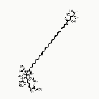 CCCCN(C(=O)OC(C)(C)C)C(NC(=O)CCCCCCCCCCCCCCCCCCCCCCCNC(=O)[C@H](O)[C@@H](O)[C@H](O)[C@@H](C)O)(C(CCCCN(CCC)C(=O)OC(C)(C)C)NC(=O)OC(C)(C)C)N(CCC)C(=O)OC(C)(C)C